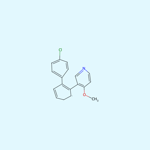 COc1ccncc1C1=C(c2ccc(Cl)cc2)C=CC[CH]1